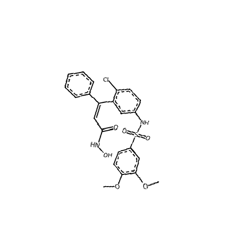 COc1ccc(S(=O)(=O)Nc2ccc(Cl)c(/C(=C\C(=O)NO)c3ccccc3)c2)cc1OC